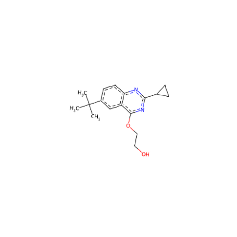 CC(C)(C)c1ccc2nc(C3CC3)nc(OCCO)c2c1